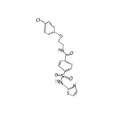 O=C(NCCOc1ccc(Cl)cc1)c1ccc(S(=O)(=O)Nc2nccs2)cc1